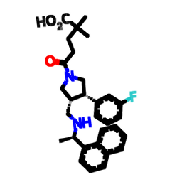 C[C@@H](NC[C@@H]1CN(C(=O)CCC(C)(C)C(=O)O)C[C@@H]1c1cccc(F)c1)c1cccc2ccccc12